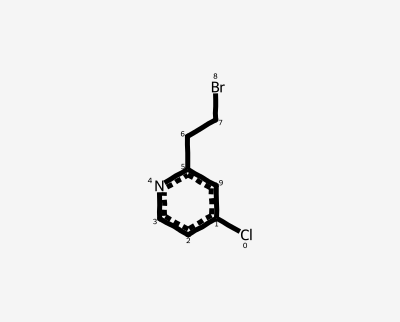 Clc1ccnc(CCBr)c1